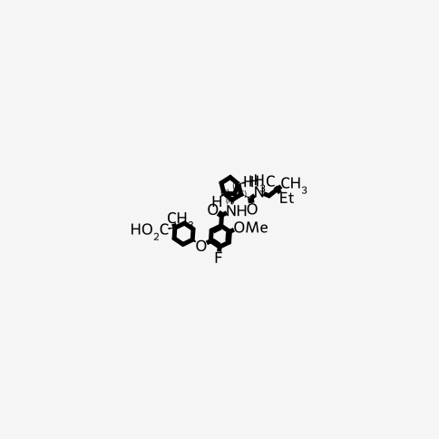 CCC(C)(C)CNC(=O)[C@H]1[C@@H]2CC[C@@H](C2)[C@H]1NC(=O)c1cc(O[C@H]2CC[C@@](C)(C(=O)O)CC2)c(F)cc1OC